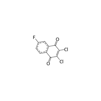 O=C1C(Cl)=C(Cl)C(=O)c2cc(F)ccc21